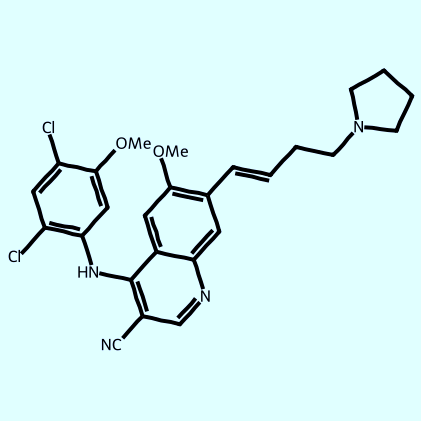 COc1cc(Nc2c(C#N)cnc3cc(/C=C/CCN4CCCC4)c(OC)cc23)c(Cl)cc1Cl